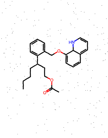 CCCCC(CCOC(C)=O)c1ccccc1COC1=CC=CC2=CC=CNC21